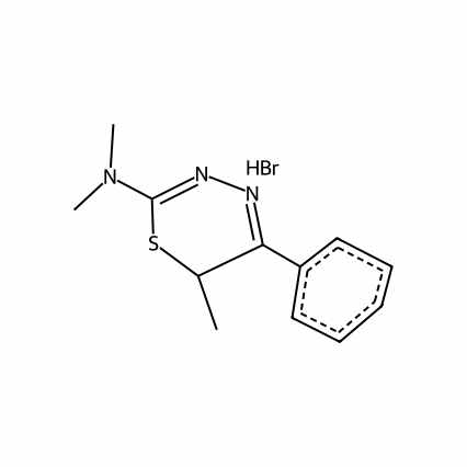 Br.CC1SC(N(C)C)=NN=C1c1ccccc1